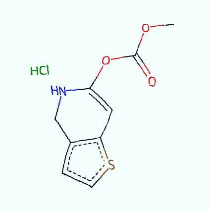 COC(=O)OC1=Cc2sccc2CN1.Cl